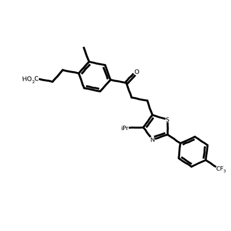 Cc1cc(C(=O)CCc2sc(-c3ccc(C(F)(F)F)cc3)nc2C(C)C)ccc1CCC(=O)O